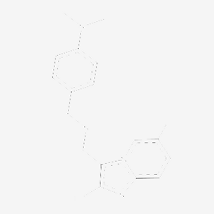 CCc1nc2ccc(Cl)cn2c1CNCc1ccc(N(C)C)cc1